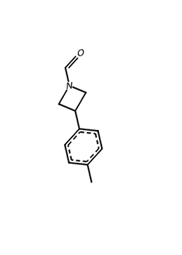 Cc1ccc(C2CN(C=O)C2)cc1